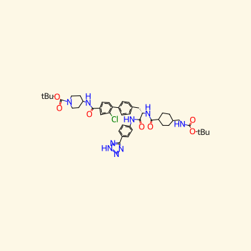 CC(C)(C)OC(=O)NCC1CCC(C(=O)N[C@@H](Cc2ccc(-c3ccc(C(=O)NC4CCN(C(=O)OC(C)(C)C)CC4)cc3Cl)cc2)C(=O)Nc2ccc(-c3nn[nH]n3)cc2)CC1